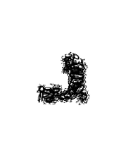 CC(C)c1cccc2c1oc1c(N(c3ccccc3)c3ccc4cc5c6cc(-c7ccccc7)cc7c8cc9ccc(N(c%10ccccc%10)c%10cccc%11c%10oc%10c(C(C)C)cccc%10%11)cc9cc8n(c5cc4c3)c67)cccc12